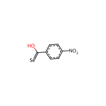 O=[N+]([O-])c1ccc(C(O)=[Se])cc1